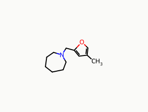 Cc1coc(CN2CCCCCC2)c1